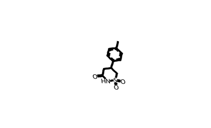 Cc1ccc(C2CC(=O)NS(=O)(=O)C2)cc1